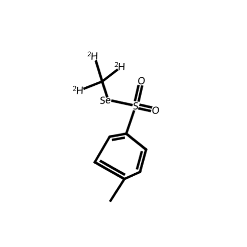 [2H]C([2H])([2H])[Se]S(=O)(=O)c1ccc(C)cc1